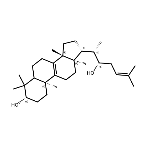 CC(C)=CC[C@H](O)[C@@H](C)[C@H]1CC[C@@]2(C)C3=C(CC[C@]12C)[C@@]1(C)CC[C@H](O)C(C)(C)C1CC3